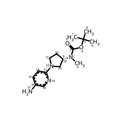 CN(C(=O)OC(C)(C)C)[C@H]1CCN(c2ccc(N)cn2)C1